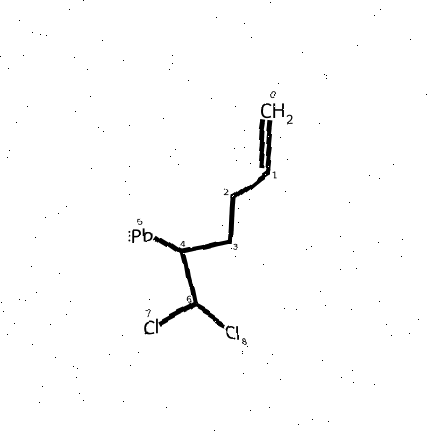 C=CCC[CH]([Pb])C(Cl)Cl